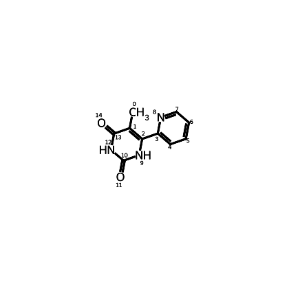 Cc1c(-c2ccccn2)[nH]c(=O)[nH]c1=O